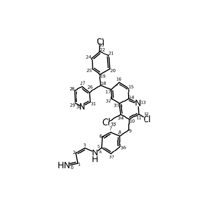 N=C/C=C\Nc1ccc(Cc2c(Cl)nc3ccc(C(c4ccc(Cl)cc4)c4cccnc4)cc3c2Cl)cc1